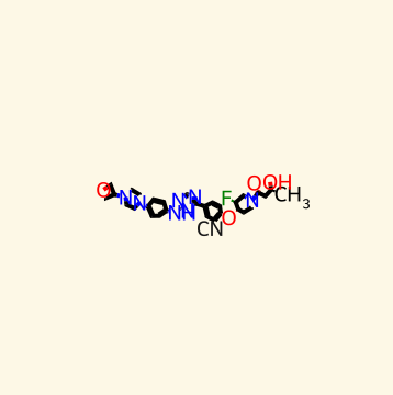 C[C@H](O)CC(=O)N1CC[C@H](Oc2ccc(-c3ncnc(Nc4ccc(N5CCN(C6COC6)CC5)cc4)n3)cc2C#N)[C@@H](F)C1